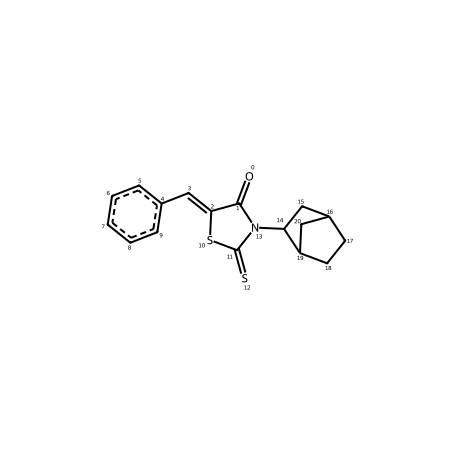 O=C1/C(=C/c2ccccc2)SC(=S)N1C1CC2CCC1C2